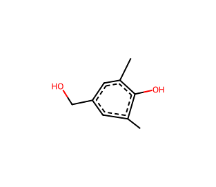 Cc1cc(CO)cc(C)c1O